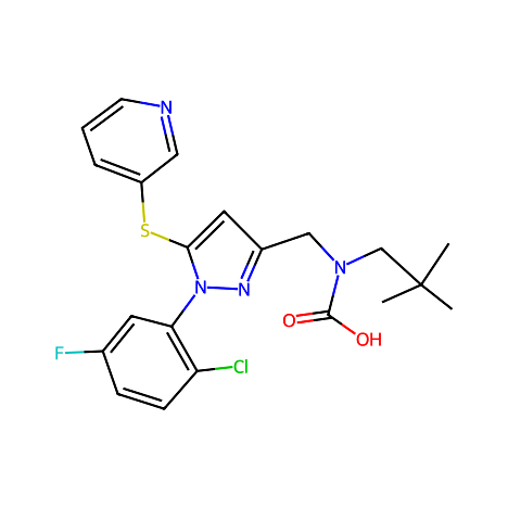 CC(C)(C)CN(Cc1cc(Sc2cccnc2)n(-c2cc(F)ccc2Cl)n1)C(=O)O